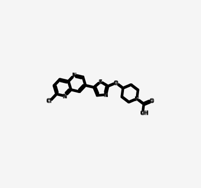 O=C(O)N1CCC(Oc2ncc(-c3cnc4ccc(Cl)nc4c3)s2)CC1